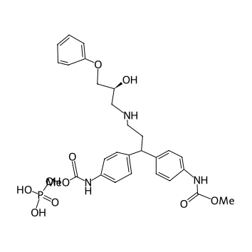 COC(=O)Nc1ccc(C(CCNC[C@H](O)COc2ccccc2)c2ccc(NC(=O)OC)cc2)cc1.O=P(O)(O)O